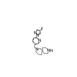 Fc1cnn(-c2ccc(CN3CCCC4(CCNCC4)C3)cn2)c1